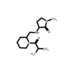 CC(C)C(=O)N1CCCCC1CNC1CCN(C)C1=O